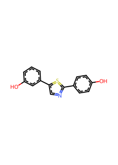 Oc1ccc(-c2ncc(-c3cccc(O)c3)s2)cc1